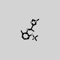 CC(=Nc1c(C)cccc1O[Si](C)(C)C)c1cn(C)cn1